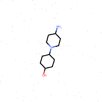 NC1CCN(C2CCC(O)CC2)CC1